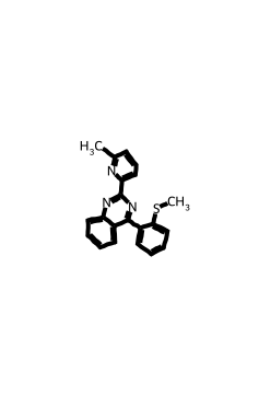 CSc1ccccc1-c1nc(-c2cccc(C)n2)nc2ccccc12